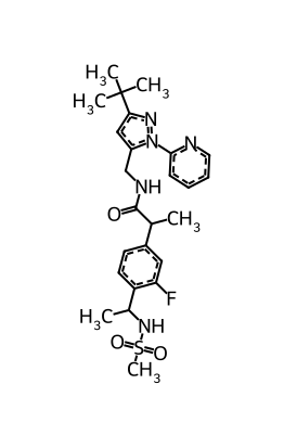 CC(NS(C)(=O)=O)c1ccc(C(C)C(=O)NCc2cc(C(C)(C)C)nn2-c2ccccn2)cc1F